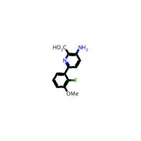 COc1cccc(-c2ccc(N)c(C(=O)O)n2)c1F